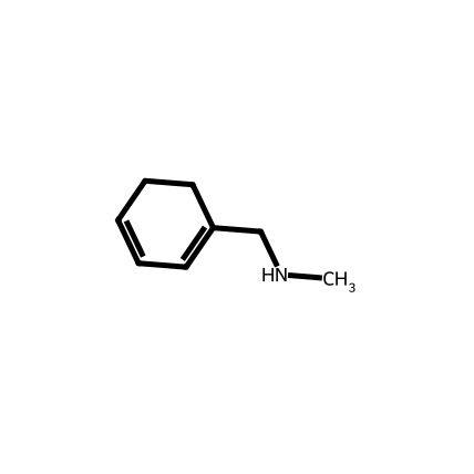 CNCC1=CC=CCC1